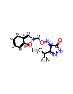 CC(C#N)C1N=NC(=O)C1=NOCN1C=C2CC=CC=C2O1